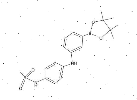 CC1(C)OB(c2cccc(Nc3ccc(NS(C)(=O)=O)cc3)c2)OC1(C)C